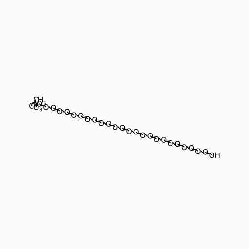 CC=C(C)C(=O)OCCOCCOCCOCCOCCOCCOCCOCCOCCOCCOCCOCCOCCOCCOCCOCCOCCOCCOCCOCCOCCOCCOCCOCCOCCO